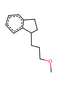 COCCCC1CCc2ccccc21